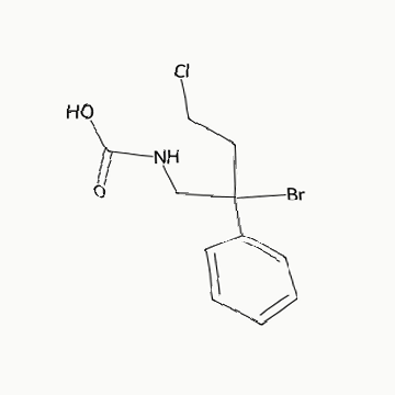 O=C(O)NCC(Br)(CCCl)c1ccccc1